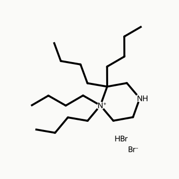 Br.CCCCC1(CCCC)CNCC[N+]1(CCCC)CCCC.[Br-]